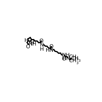 CC(C)(C)NCC(=O)NCCCCCCNC(=O)CCCCNC(=O)CCCCC1CC[C@@H]2CC(=O)N[C@H]12